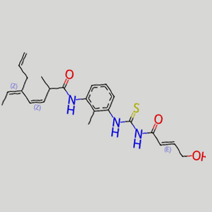 C=CCC(/C=C\C(C)C(=O)Nc1cccc(NC(=S)NC(=O)/C=C/CO)c1C)=C/C